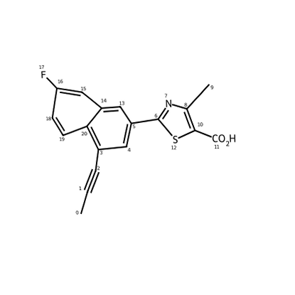 CC#Cc1cc(-c2nc(C)c(C(=O)O)s2)cc2cc(F)ccc12